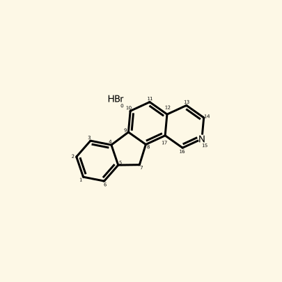 Br.c1ccc2c(c1)Cc1c-2ccc2ccncc12